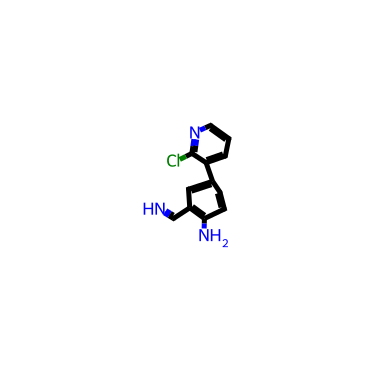 N=Cc1cc(-c2cccnc2Cl)ccc1N